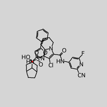 N#Cc1cc(NC(=O)c2c(Cl)c(S(=O)(=O)NC3C4CCC3CC(O)(c3cc(-c5ccccc5)on3)C4)c3n2CCC=C3)cc(F)n1